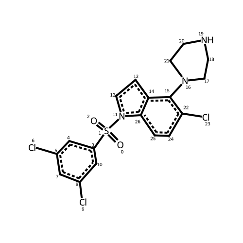 O=S(=O)(c1cc(Cl)cc(Cl)c1)n1ccc2c(N3CCNCC3)c(Cl)ccc21